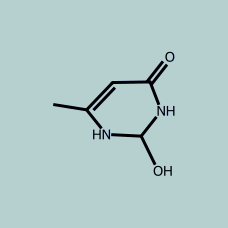 CC1=CC(=O)NC(O)N1